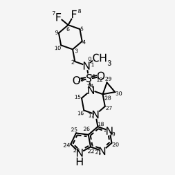 CN(CC1CCC(F)(F)CC1)S(=O)(=O)N1CCN(c2ncnc3[nH]ccc23)CC12CC2